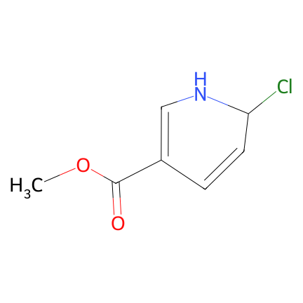 COC(=O)C1=CNC(Cl)C=C1